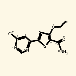 CCOc1cc(-c2cc(Cl)ncn2)sc1C(N)=O